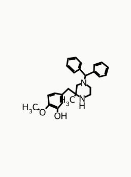 COc1ccc(CC2(C)CN(C(c3ccccc3)c3ccccc3)CCN2)cc1O